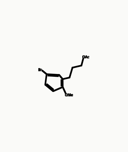 COc1ccc(Br)cc1CCCOC(C)=O